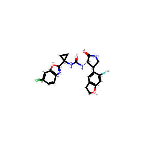 O=C(N[C@@H]1C(=O)NC[C@H]1c1cc2c(cc1F)OCC2)NC1(c2nc3ccc(Cl)cc3o2)CC1